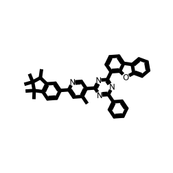 Cc1cc(-c2ccc3c(c2)C(C)C(C)(C)C3(C)C)ncc1-c1nc(-c2ccccc2)nc(-c2cccc3c2oc2ccccc23)n1